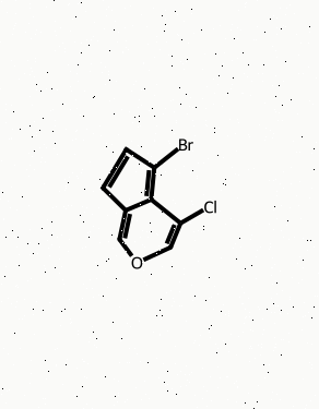 Clc1cocc2ccc(Br)c1-2